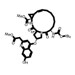 COC(=O)Cc1cc(O[C@@H]2C[C@H]3C(=O)N[C@]4(C(=O)OC)CC4/C=C\CCCCC[C@H](NC(=O)OC(C)(C)C)C(=O)N3C2)c2ccc(O)cc2n1